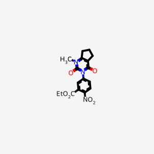 CCOC(=O)c1cc(-n2c(=O)c3c(n(C)c2=O)CCC3)ccc1[N+](=O)[O-]